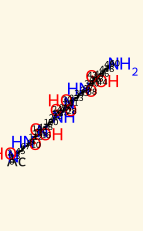 CC(=O)N(O)CCCCCNC(=O)CCC(=O)N(O)CCCCCNC(=O)CCC(=O)N(O)CCCCCNC(=O)CCC(=O)C(O)CCCCCN